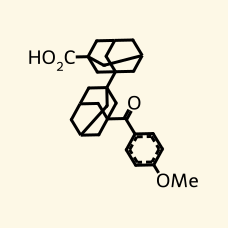 COc1ccc(C(=O)C23CC4CC(C2)CC(C25CC6CC(CC(C(=O)O)(C6)C2)C5)(C4)C3)cc1